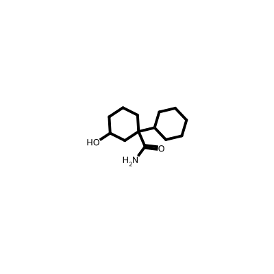 NC(=O)C1(C2CCCCC2)CCCC(O)C1